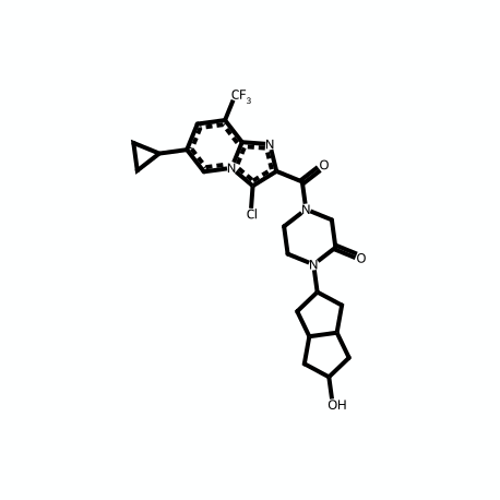 O=C(c1nc2c(C(F)(F)F)cc(C3CC3)cn2c1Cl)N1CCN(C2CC3CC(O)CC3C2)C(=O)C1